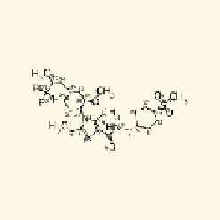 CCc1nc(C(=O)NC[C@H]2CC[C@H](S(C)(=O)=O)CC2)c(C)n1C1=CC=C(CC(C)C(F)(F)F)C[C@H]1OC